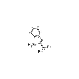 CCC(F)=C([SiH3])Cc1ccccc1